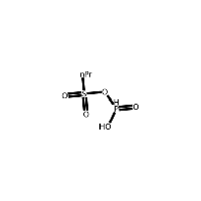 CCCS(=O)(=O)O[PH](=O)O